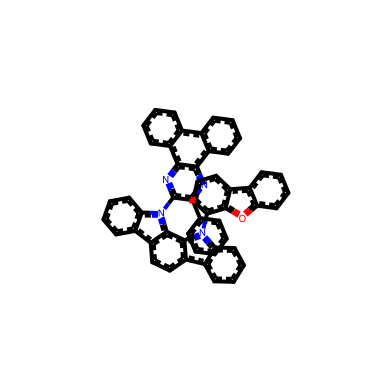 c1ccc(-c2nc3c4ccccc4c4ccccc4c3nc2-n2c3ccccc3c3ccc4c5ccccc5n(-c5cccc6c5oc5ccccc56)c4c32)cc1